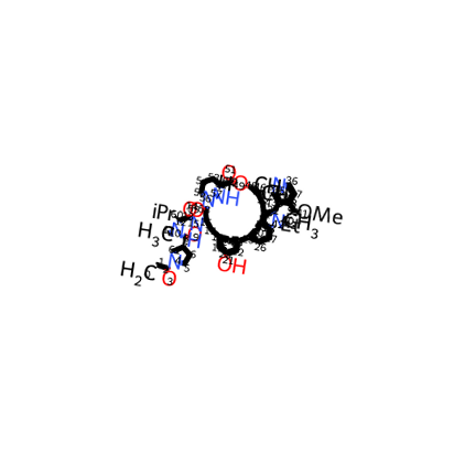 C=CC(=O)N1CC[C@H](C(=O)N(C)[C@H](C(=O)N[C@H]2Cc3cc(O)cc(c3)-c3ccc4c(c3)c(c(-c3cnccc3[C@H](C)OC)n4CC)CC(C)(C)COC(=O)[C@@H]3CCCN(N3)C2=O)C(C)C)C1